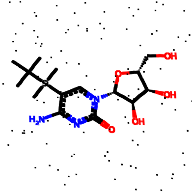 CC(C)(C)[Si](C)(C)c1cn([C@@H]2O[C@H](CO)[C@@H](O)[C@H]2O)c(=O)nc1N